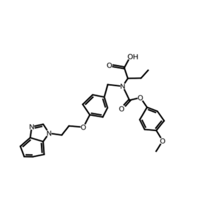 CCC(C(=O)O)N(Cc1ccc(OCCn2cnc3ccccc32)cc1)C(=O)Oc1ccc(OC)cc1